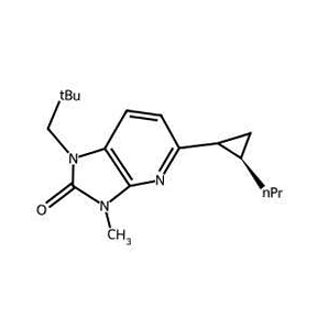 CCC[C@@H]1CC1c1ccc2c(n1)n(C)c(=O)n2CC(C)(C)C